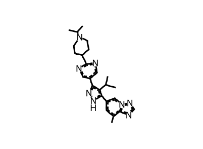 Cc1cc(-c2[nH]nc(-c3cnc(C4CCN(C(C)C)CC4)nc3)c2C(C)C)cn2ncnc12